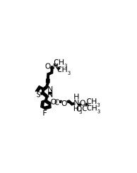 CN(C)C(=O)CCC#Cc1nnc(-c2ccc(F)cc2OCCOCCNC(=O)OC(C)(C)C)c2sccc12